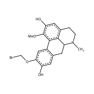 COc1c(O)cc2c3c1-c1cc(OCBr)c(O)cc1CC3N(C)CC2